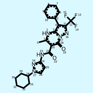 Cc1[nH]c2c(-c3ccccc3)c(C(F)(F)F)nn2c(=O)c1C(=O)Nc1ccn(C2CCCCC2)n1